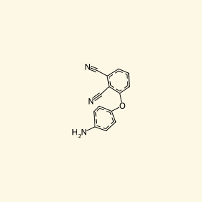 N#Cc1cccc(Oc2ccc(N)cc2)c1C#N